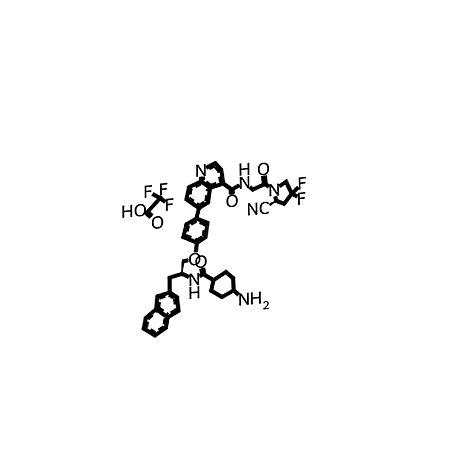 N#C[C@@H]1CC(F)(F)CN1C(=O)CNC(=O)c1ccnc2ccc(-c3ccc(OC[C@H](Cc4ccc5ccccc5c4)NC(=O)C4CCC(N)CC4)cc3)cc12.O=C(O)C(F)(F)F